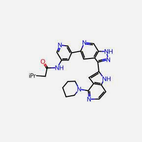 CC(C)CC(=O)Nc1cncc(-c2cc3c(-c4cc5c(N6CCCCC6)nccc5[nH]4)n[nH]c3cn2)c1